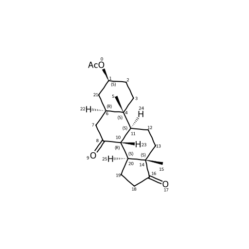 CC(=O)O[C@H]1CC[C@@]2(C)[C@@H](CC(=O)[C@@H]3[C@@H]2CC[C@]2(C)C(=O)CC[C@@H]32)C1